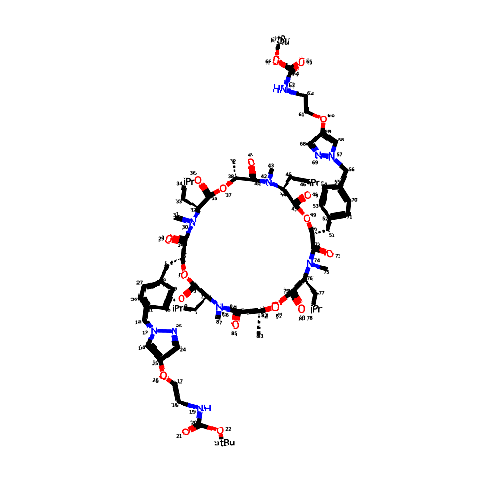 CC(C)C[C@H]1C(=O)O[C@H](Cc2ccc(Cn3cc(OCCNC(=O)OC(C)(C)C)cn3)cc2)C(=O)N(C)[C@@H](CC(C)C)C(=O)O[C@H](C)C(=O)N(C)[C@@H](CC(C)C)C(=O)O[C@H](Cc2ccc(Cn3cc(OCCNC(=O)OC(C)(C)C)cn3)cc2)C(=O)N(C)[C@@H](CC(C)C)C(=O)O[C@H](C)C(=O)N1C